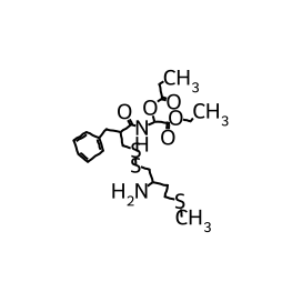 CCOC(=O)C(NC(=O)C(CSSCC(N)CCSC)Cc1ccccc1)OC(=O)CC